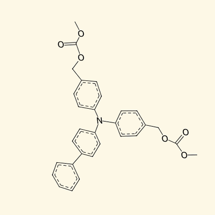 COC(=O)OCc1ccc(N(c2ccc(COC(=O)OC)cc2)c2ccc(-c3ccccc3)cc2)cc1